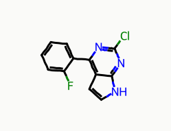 Fc1ccccc1-c1nc(Cl)nc2[nH]ccc12